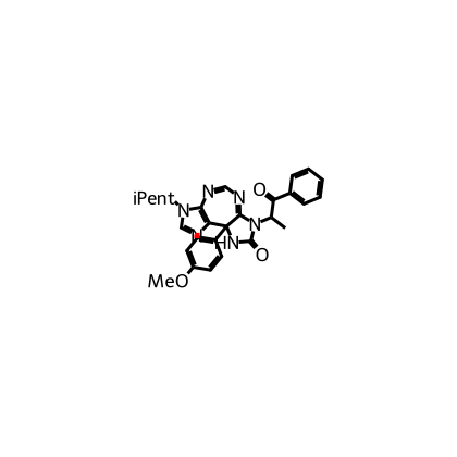 CCCC(C)n1cnc2c1N=CN=C1N(C(C)C(=O)c3ccccc3)C(=O)NC12c1ccc(OC)cc1